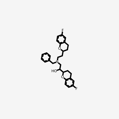 OC(CN(CCC1CCc2cc(F)ccc2O1)Cc1ccccc1)C1CCc2cc(F)ccc2O1